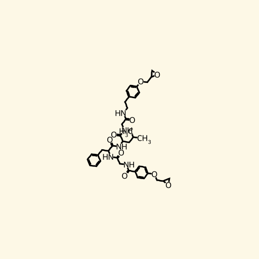 CC(C)CC(NC(=O)C(Cc1ccccc1)NC(=O)CNC(=O)c1ccc(OCC2CO2)cc1)C(=O)NCC(=O)NCCc1ccc(OCC2CO2)cc1